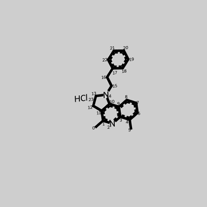 Cc1nc2c(C)cccc2c2c1CCN2CCc1ccccc1.Cl